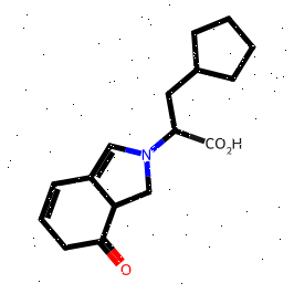 O=C1CC=CC2=CN(C(CC3CCCC3)C(=O)O)CC12